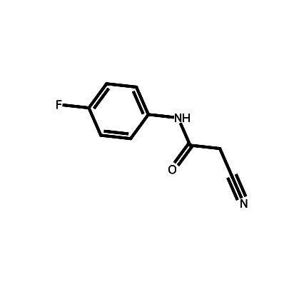 N#CCC(=O)Nc1ccc(F)cc1